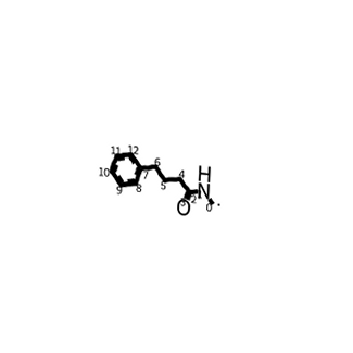 [CH2]NC(=O)CCCc1ccccc1